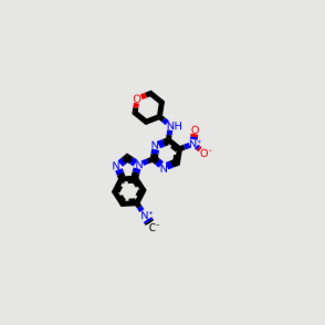 [C-]#[N+]c1ccc2ncn(-c3ncc([N+](=O)[O-])c(NC4CCOCC4)n3)c2c1